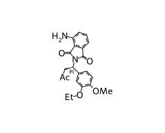 CCOc1cc([C@@H](CC(C)=O)N2C(=O)c3cccc(N)c3C2=O)ccc1OC